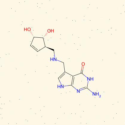 Nc1nc2[nH]cc(CNC[C@H]3C=C[C@H](O)[C@@H]3O)c2c(=O)[nH]1